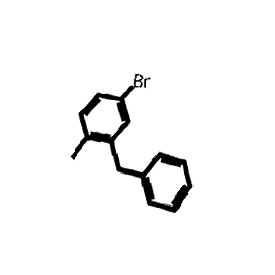 Cc1ccc(Br)cc1Cc1ccccc1